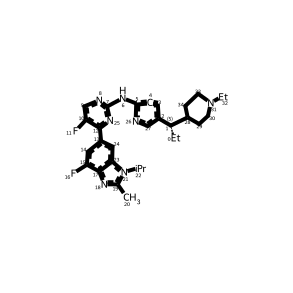 CC[C@H](c1ccc(Nc2ncc(F)c(-c3cc(F)c4nc(C)n(C(C)C)c4c3)n2)nc1)C1CCN(CC)CC1